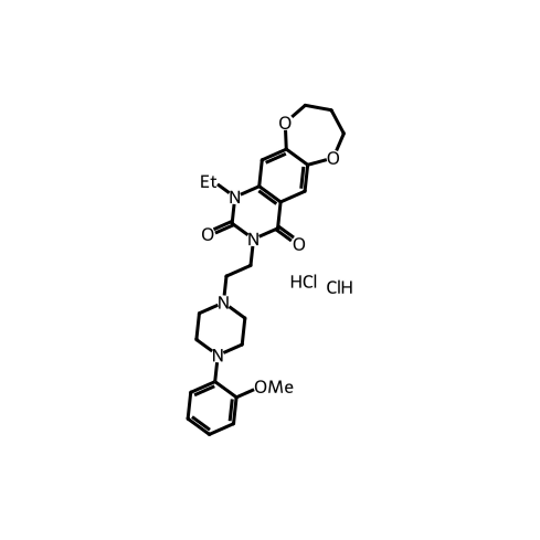 CCn1c(=O)n(CCN2CCN(c3ccccc3OC)CC2)c(=O)c2cc3c(cc21)OCCCO3.Cl.Cl